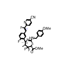 COC(=O)[C@@H]1SC(NCc2ccc(OC)cc2)=N[C@](C)(c2cc(/C=C(\F)c3ccc(C#N)cn3)ccc2F)[C@H](C)C1(F)F